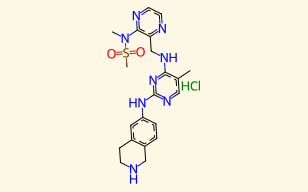 Cc1cnc(Nc2ccc3c(c2)CCNC3)nc1NCc1nccnc1N(C)S(C)(=O)=O.Cl